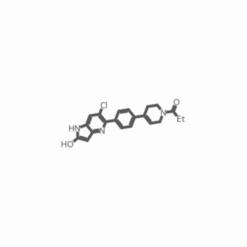 CCC(=O)N1CC=C(c2ccc(-c3nc4cc(O)[nH]c4cc3Cl)cc2)CC1